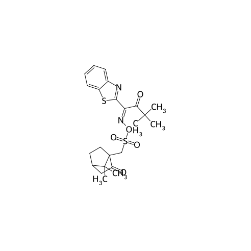 CC(C)(C)C(=O)/C(=N\OS(=O)(=O)CC12CCC(CC1=O)C2(C)C)c1nc2ccccc2s1